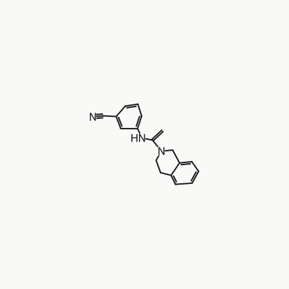 C=C(Nc1cccc(C#N)c1)N1CCc2ccccc2C1